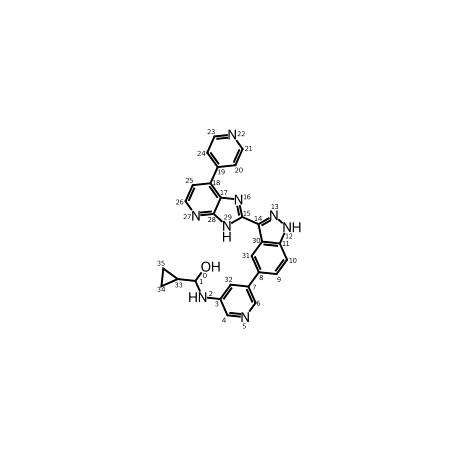 OC(Nc1cncc(-c2ccc3[nH]nc(-c4nc5c(-c6ccncc6)ccnc5[nH]4)c3c2)c1)C1CC1